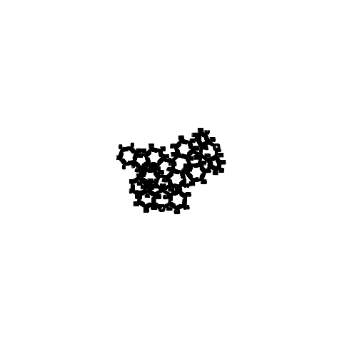 c1ccc(-n2c3ccccc3c3ccc(N(c4cccc5c4-c4ccccc4C54c5ccccc5Oc5ccccc54)c4cccc5c4-c4ccccc4C54c5ccccc5Oc5ccccc54)cc32)cc1